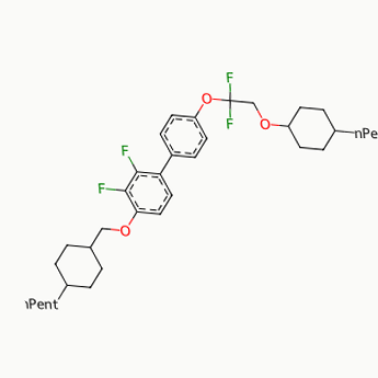 CCCCCC1CCC(COc2ccc(-c3ccc(OC(F)(F)COC4CCC(CCCCC)CC4)cc3)c(F)c2F)CC1